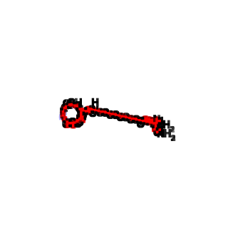 CO[C@H]1CC2CCCC(O2)C(=O)C(=O)N2CCCC[C@H]2C(=O)O[C@H](CC[C@H]2CC[C@H](OC(=O)NCCOCCOCCOCCOCCOCCOCCOCCOCCC(=O)N3CCc4cc(Cn5nc(-c6ccc7oc(N)nc7c6)c6c(N)ncnc65)ccc4C3)CC2)CC[C@H](C)/C=C(\C)[C@@H](O)CC(=O)[C@H](C)C[C@H](C)/C=C/C=C/C=C/1C